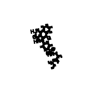 CCN(C)CC(C)C(C)CNS(=O)(=O)c1ccc(C2=C3C(=O)c4ccccc4C(N)=C3C(=O)N2)cc1